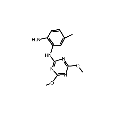 COc1nc(Nc2cc(C)ccc2N)nc(OC)n1